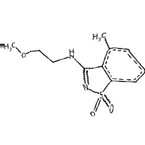 COCCNC1=NS(=O)(=O)c2cccc(C)c21